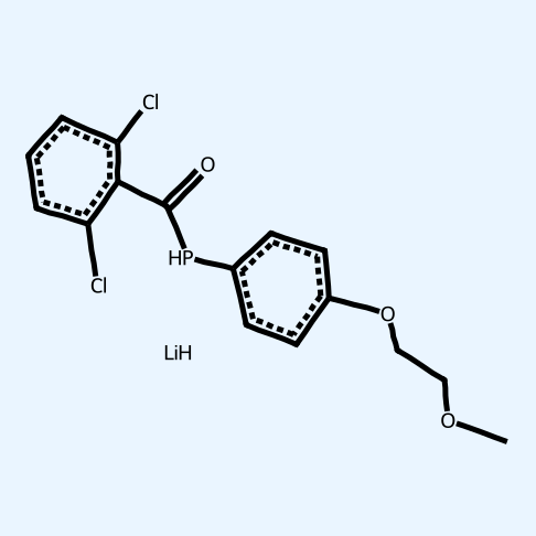 COCCOc1ccc(PC(=O)c2c(Cl)cccc2Cl)cc1.[LiH]